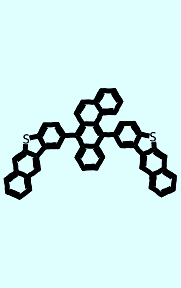 c1ccc2cc3c(cc2c1)sc1ccc(-c2c4ccccc4c(-c4ccc5sc6cc7ccccc7cc6c5c4)c4c2ccc2ccccc24)cc13